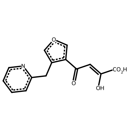 O=C(O)/C(O)=C/C(=O)c1cocc1Cc1ccccn1